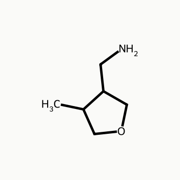 CC1COCC1CN